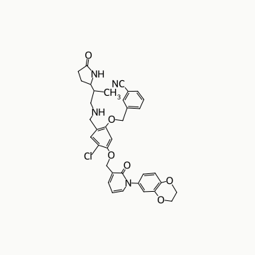 CC(CNCc1cc(Cl)c(OCc2cccn(-c3ccc4c(c3)OCCO4)c2=O)cc1OCc1cccc(C#N)c1)C1CCC(=O)N1